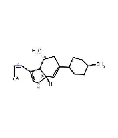 CCC/C=C\C1=CN[C@H]2C=C(C3CCC(C)CC3)C[C@@H](C)C12